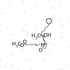 COC(=O)CCCC=CCN1C(=O)CC[C@@H]1C=C[C@@H](O)[C@@H](C)CCCCc1ccccc1